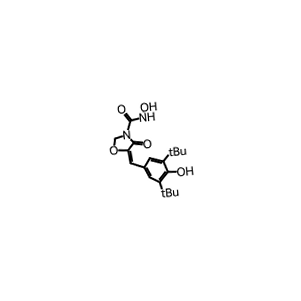 CC(C)(C)c1cc(C=C2OCN(C(=O)NO)C2=O)cc(C(C)(C)C)c1O